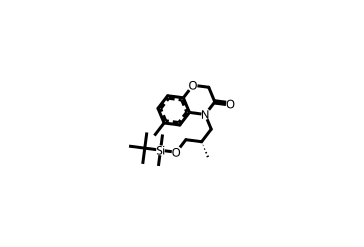 Cc1ccc2c(c1)N(C[C@H](C)CO[Si](C)(C)C(C)(C)C)C(=O)CO2